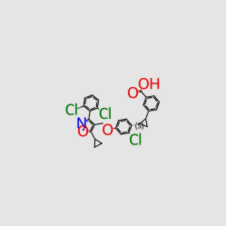 O=C(O)c1cccc(C2C[C@@H]2c2ccc(OCc3c(-c4c(Cl)cccc4Cl)noc3C3CC3)cc2Cl)c1